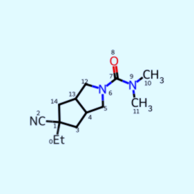 CCC1(C#N)CC2CN(C(=O)N(C)C)CC2C1